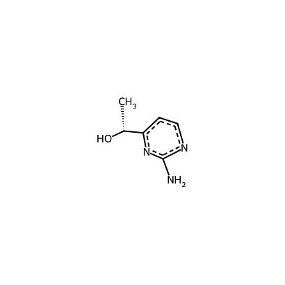 C[C@@H](O)c1ccnc(N)n1